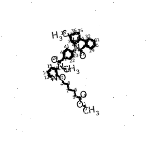 CCOC(=O)CCCCCOc1ncccc1N(C)C(=O)c1ccc(NC(=O)c2ccccc2-c2ccc(C)cc2)cc1